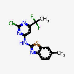 CC(F)(F)c1cc(Nc2nc3ccc(C(F)(F)F)cc3s2)nc(Cl)n1